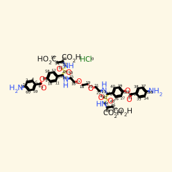 Cl.Nc1ccc(C(=O)Oc2ccc(C(NCCOCCOCCNC(c3ccc(OC(=O)c4ccc(N)cc4)cc3)S(=O)(=O)NC(CC(=O)O)C(=O)O)S(=O)(=O)NC(CC(=O)O)C(=O)O)cc2)cc1